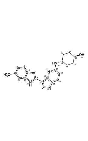 Cc1ccc2cc(-c3cnc4ccc(N[C@H]5CC[C@H](O)CC5)nn34)[nH]c2c1